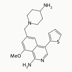 COc1cc(CN2CCC(N)CC2)cc2c(-c3cccs3)cnc(N)c12